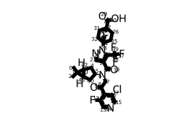 CC1(C)[C@@H]2C[C@H](N(CC(=O)c3c(F)cncc3Cl)C(=O)c3cnn(C45CCC(C(=O)O)(CC4)CC5)c3C(F)(F)F)C[C@@H]21